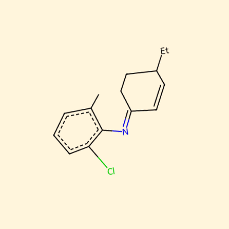 CCC1C=CC(=Nc2c(C)cccc2Cl)CC1